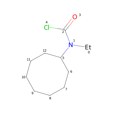 CCN(C(=O)Cl)C1CCCCCCC1